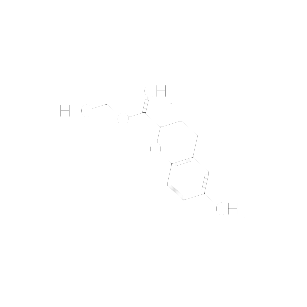 C=C(OCC)C1CCc2cc(C)ccc2O1